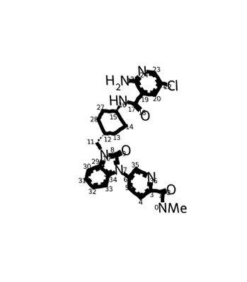 CNC(=O)c1ccc(-n2c(=O)n(C[C@H]3CC[C@H](NC(=O)c4cc(Cl)cnc4N)CC3)c3ccccc32)cn1